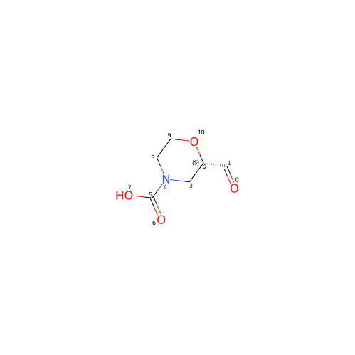 O=C[C@@H]1CN(C(=O)O)CCO1